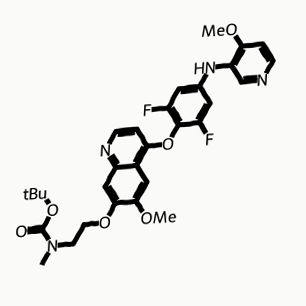 COc1ccncc1Nc1cc(F)c(Oc2ccnc3cc(OCCN(C)C(=O)OC(C)(C)C)c(OC)cc23)c(F)c1